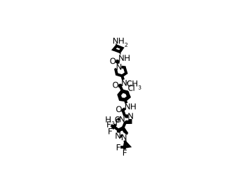 CN(C(=O)c1ccc(NC(=O)c2ncc(-c3cn(C4CC4(F)F)nc3C(F)(F)F)n2C)cc1Cl)C1CCN(C(=O)N[C@H]2C[C@@H](N)C2)CC1